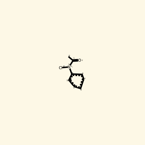 CC(=O)[N+](Cl)c1ccccc1